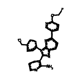 Nc1ncccc1-c1nc2ccc(-c3ccc(OCF)nc3)nc2n1-c1ccc(CCl)cc1